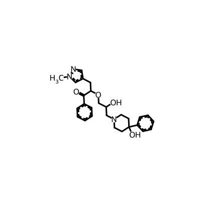 Cn1cc(CC(OCC(O)CN2CCC(O)(c3ccccc3)CC2)C(=O)c2ccccc2)cn1